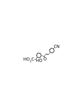 N#Cc1ccc(C=CC(=O)c2cccc(CC(=O)O)c2O)cc1